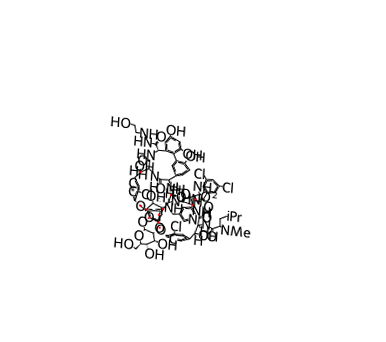 CN[C@H](CC(C)C)C(=O)N[C@H]1C(=O)N[C@@H](CC(N)=O)C(=O)N[C@H]2C(=O)N[C@H]3C(=O)N[C@H](C(=O)N[C@@H](C(=O)NNCCO)c4cc(O)cc(O)c4-c4cc3ccc4O)[C@H](O)c3ccc(c(Cl)c3)Oc3cc2cc(c3O[C@@H]2O[C@H](CO)[C@@H](O)[C@H](O)[C@H]2OC2C[C@](C)(NCc3cncc(NC(=O)c4cc(Cl)cc(Cl)c4)c3)[C@H](O)[C@H](C)O2)Oc2ccc(cc2Cl)[C@H]1O